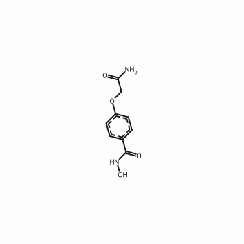 NC(=O)COc1ccc(C(=O)NO)cc1